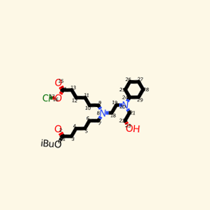 CC(C)COC(=O)CCCCCN(CCCCCC(=O)OCl)CCN(CCO)C1CCCCC1